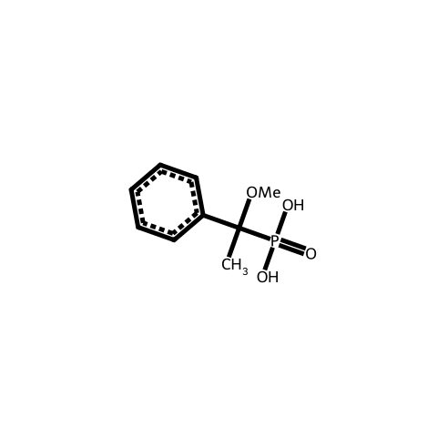 COC(C)(c1ccccc1)P(=O)(O)O